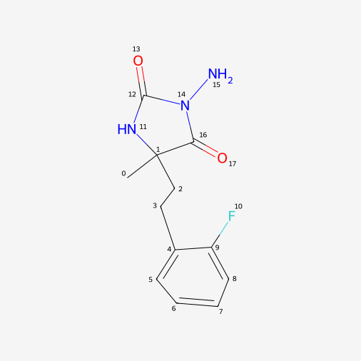 CC1(CCc2ccccc2F)NC(=O)N(N)C1=O